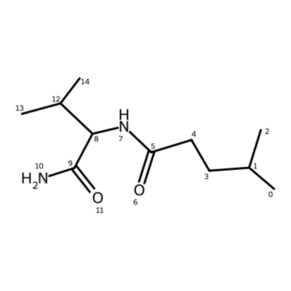 CC(C)CCC(=O)NC(C(N)=O)C(C)C